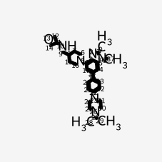 Cc1nc2c(N3CCC(CNC4COC4)CC3)cc(-c3ccc(N4CCN(C(C)C)CC4)cc3)cc2n1C